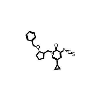 O=c1c(N=C=S)cc(C2CC2)cn1CC1CCC[C@H]1OCc1ccccc1